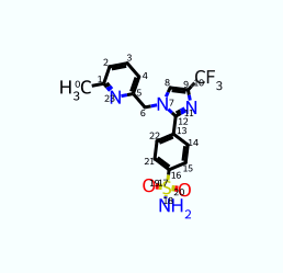 Cc1cccc(Cn2cc(C(F)(F)F)nc2-c2ccc(S(N)(=O)=O)cc2)n1